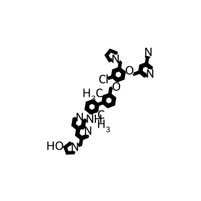 Cc1c(COc2cc(OCc3cncc(C#N)c3)c(CN3CCCC3)cc2Cl)cccc1-c1cccc(Nc2nccc3cc(CN4CC[C@@H](O)C4)cnc23)c1C